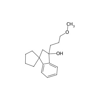 COCCCC1(O)CC2(CCCC2)c2ccccc21